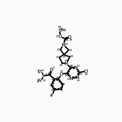 CCN(C(=O)c1cc(F)ccc1Oc1nnc(Cl)nc1N1CCC2(CN(C(=O)OC(C)(C)C)C2)C1)C(C)C